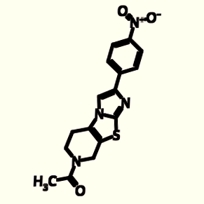 CC(=O)N1CCc2c(sc3nc(-c4ccc([N+](=O)[O-])cc4)cn23)C1